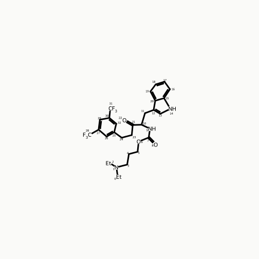 CCN(CC)CCCOC(=O)NC(Cc1c[nH]c2ccccc12)C(=O)CCc1cc(C(F)(F)F)cc(C(F)(F)F)c1